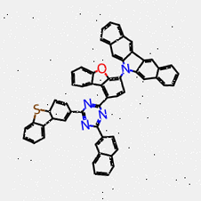 C1=CC2Sc3ccccc3C2C=C1c1nc(-c2ccc3ccccc3c2)nc(-c2ccc(-n3c4cc5ccccc5cc4c4cc5ccccc5cc43)c3oc4ccccc4c23)n1